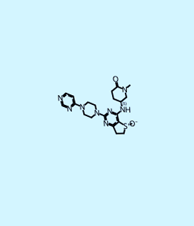 CN1C[C@@H](Nc2nc(N3CCN(c4ccncn4)CC3)nc3c2[S+]([O-])CC3)CCC1=O